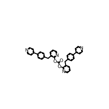 O=C(Oc1ncccc1Cc1ccc(-c2ccncc2)cc1)Oc1ncccc1Cc1ccc(-c2ccncc2)cc1